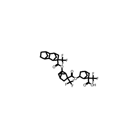 O=C(OC1CC2CC1C(C(=O)O)(C(F)(F)F)C2)C1(C(F)(F)F)CC2C=C(OC(=O)C3(C(F)(F)F)CC4CC3C3C5CCC(C5)C43)C1C2